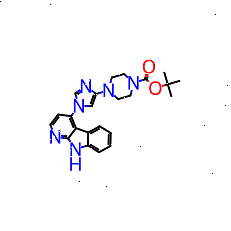 CC(C)(C)OC(=O)N1CCN(c2cn(-c3ccnc4[nH]c5ccccc5c34)cn2)CC1